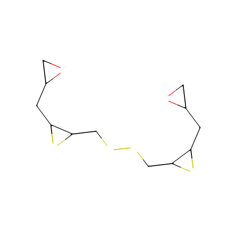 C1OC1CC1SC1CSSCC1SC1CC1CO1